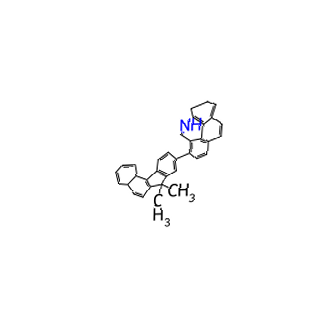 CC1(C)C2=C(c3ccc(-c4ccc5ccc6c(c5c4C=N)=CCCC=6)cc31)C1C=CC=CC1C=C2